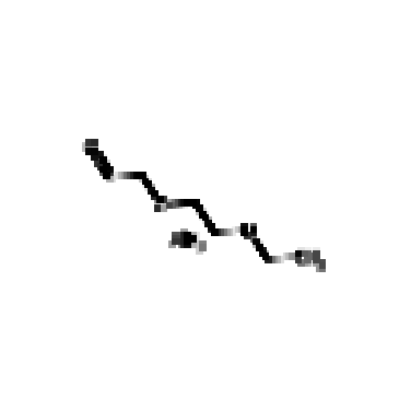 CCOCCOCC=O.[AlH3]